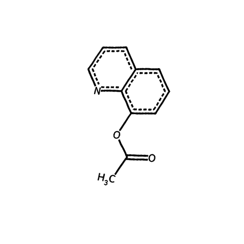 CC(=O)Oc1cccc2cccnc12